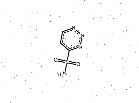 NS(=O)(=O)c1ccnnn1